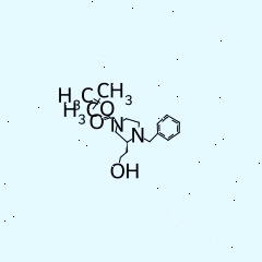 CC(C)(C)OC(=O)N1CCN(Cc2ccccc2)[C@@H](CCO)C1